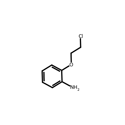 Nc1ccccc1OCCCl